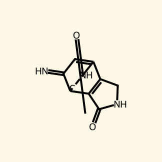 N=C1C=C2C(=O)NCC1C1=C2CNC1=O